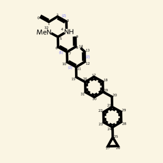 C=C/C=C\NC(/C=C(C=C)/C=C(\C=C/C)Cc1ccc(Cc2ccc(C3CC3)cc2)cc1)NC